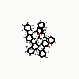 c1ccc(-c2cc(-c3ccccc3)nc(-n3c4c(c5ccccc5c5c6ccccc6c6ccccc6c54)c4ccc5c6ccccc6n(-c6ccccc6)c5c43)n2)cc1